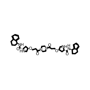 O=C(N[C@@H]1CCCc2ccccc21)[C@@H]1C[C@H](OCCC(=O)N2CCN(C(=O)CCO[C@@H]3CN[C@H](C(=O)N[C@@H]4CCCc5ccccc54)C3)CC2)CN1